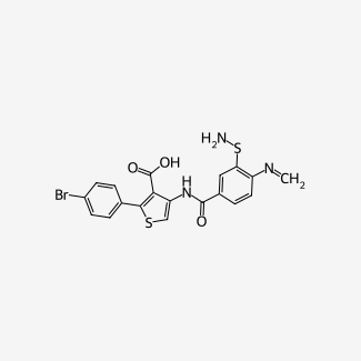 C=Nc1ccc(C(=O)Nc2csc(-c3ccc(Br)cc3)c2C(=O)O)cc1SN